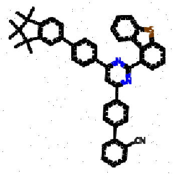 CC1(C)c2ccc(-c3ccc(-c4cc(-c5ccc(-c6ccccc6C#N)cc5)nc(-c5cccc6sc7ccccc7c56)n4)cc3)cc2C(C)(C)C1(C)C